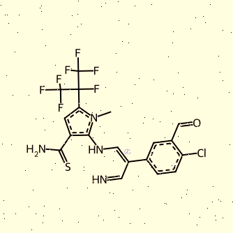 Cn1c(C(F)(C(F)(F)F)C(F)(F)F)cc(C(N)=S)c1N/C=C(\C=N)c1ccc(Cl)c(C=O)c1